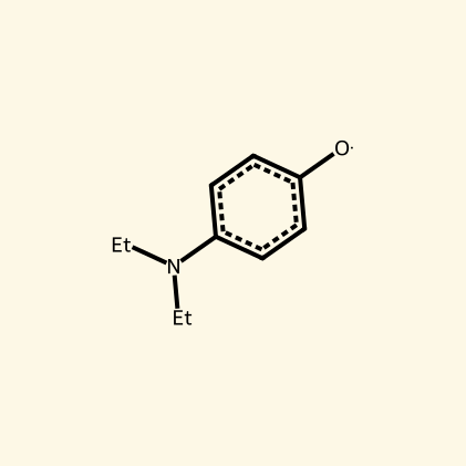 CCN(CC)c1ccc([O])cc1